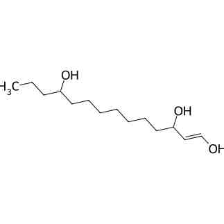 CCCC(O)CCCCCCCC(O)C=CO